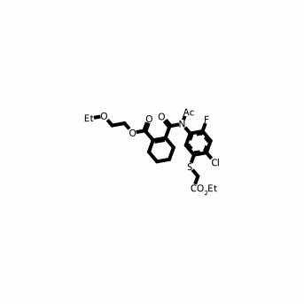 CCOCCOC(=O)C1=C(C(=O)N(C(C)=O)c2cc(SCC(=O)OCC)c(Cl)cc2F)CCCC1